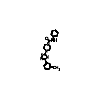 Cc1cccc(-c2nsc(N3CCN(C(=O)Nc4ccccc4)CC3)n2)c1